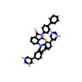 O=C1c2cccc(-n3c4cc(-c5cncnc5)ccc4c4ccc(-c5cncnc5)cc43)c2C(=O)N1c1ccc(-c2ccccc2)cc1